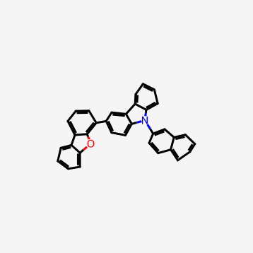 c1ccc2cc(-n3c4ccccc4c4cc(-c5cccc6c5oc5ccccc56)ccc43)ccc2c1